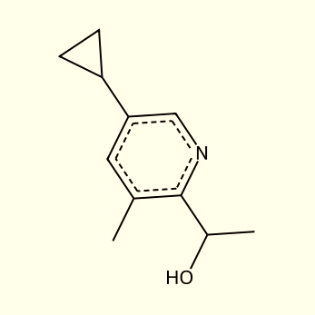 Cc1cc(C2CC2)cnc1C(C)O